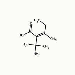 CCC(C)=C(C(=O)O)C(C)(C)N